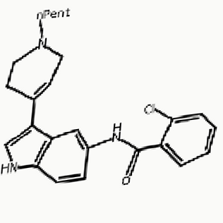 CCCCCN1CC=C(c2c[nH]c3ccc(NC(=O)c4ccccc4Cl)cc23)CC1